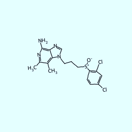 Cc1nc(N)c2ncn(CCC[S+]([O-])c3ccc(Cl)cc3Cl)c2c1C